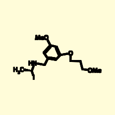 COCCCOc1cc(CN[C@H](C)I)cc(OC)c1